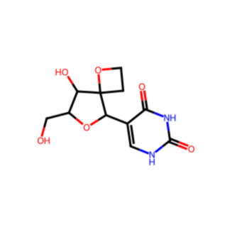 O=c1[nH]cc(C2OC(CO)C(O)C23CCO3)c(=O)[nH]1